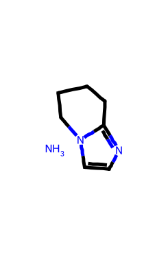 N.c1cn2c(n1)CCCC2